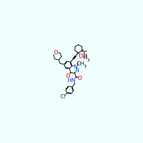 C[C@@H]1CCCC[C@]1(O)C#Cc1cc(CC2CCOCC2)cc2c(=O)c(C(=O)NCc3ccc(Cl)cc3)nn(C)c12